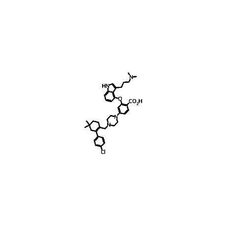 CN(C)CCCc1c[nH]c2cccc(Oc3cc(N4CCN(CC5=C(c6ccc(Cl)cc6)CC(C)(C)CC5)CC4)ccc3C(=O)O)c12